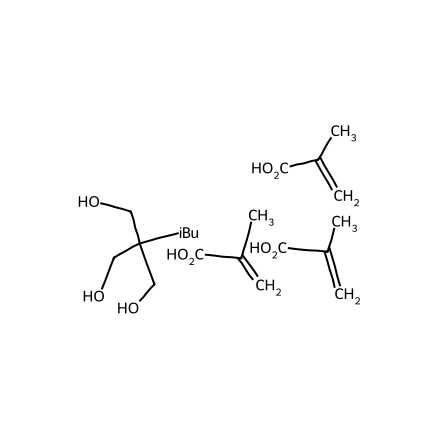 C=C(C)C(=O)O.C=C(C)C(=O)O.C=C(C)C(=O)O.CCC(C)C(CO)(CO)CO